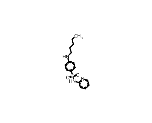 CCCCCNc1ccc(S(=O)(=O)Nc2ccccn2)cc1